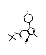 Cc1nn(C2CCNCC2)c(NC(=O)OC(C)(C)C)c1C#N